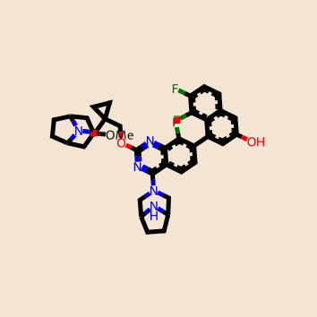 COC1CC2CCC(C1)N2CC1(COc2nc(N3CC4CCC(C3)N4)c3ccc(-c4cc(O)cc5ccc(F)c(F)c45)c(F)c3n2)CC1